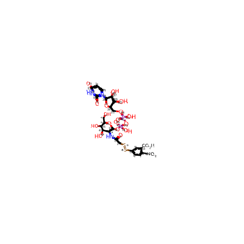 O=C(CSSc1ccc([N+](=O)[O-])c(C(=O)O)c1)NC1C(OP(=O)(O)OP(=O)(O)OCC2OC(n3ccc(=O)[nH]c3=O)C(O)C2O)OC(CO)C(O)C1O